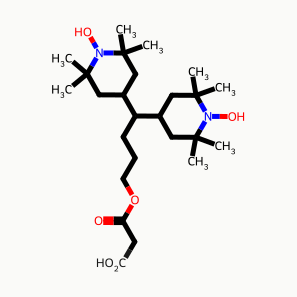 CC1(C)CC(C(CCCOC(=O)CC(=O)O)C2CC(C)(C)N(O)C(C)(C)C2)CC(C)(C)N1O